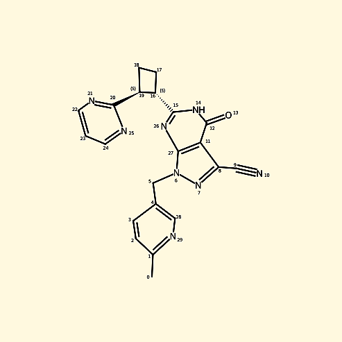 Cc1ccc(Cn2nc(C#N)c3c(=O)[nH]c([C@H]4CC[C@@H]4c4ncccn4)nc32)cn1